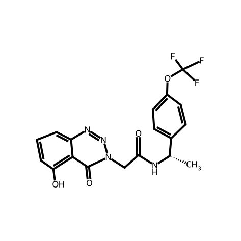 C[C@H](NC(=O)Cn1nnc2cccc(O)c2c1=O)c1ccc(OC(F)(F)F)cc1